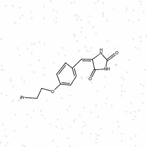 CC(C)CCOc1ccc(C=C2NC(=O)NC2=O)cc1